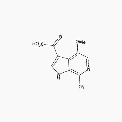 COc1cnc(C#N)c2[nH]cc(C(=O)C(=O)O)c12